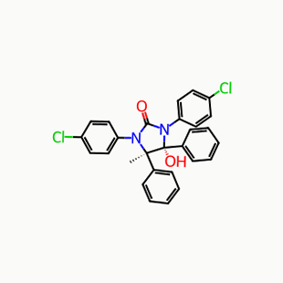 C[C@]1(c2ccccc2)N(c2ccc(Cl)cc2)C(=O)N(c2ccc(Cl)cc2)[C@@]1(O)c1ccccc1